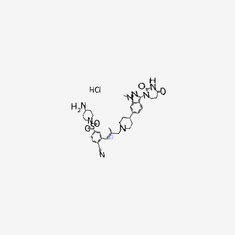 C/C(=C\c1cc(S(=O)(=O)N2CCC(N)CC2)ccc1C#N)CN1CCC(c2ccc3c(N4CCC(=O)NC4=O)nn(C)c3c2)CC1.Cl